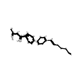 CCCCCCC[C@H]1CC[C@H](c2ccc(C(=O)CC(C)=O)cc2)CC1